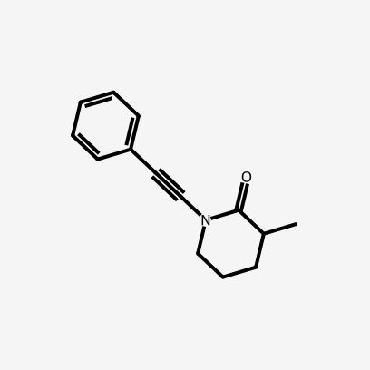 CC1CCCN(C#Cc2ccccc2)C1=O